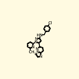 Cc1cccc(-n2nc(NCc3ccc(Cl)cc3)cc2-c2ccc3nccn3n2)n1